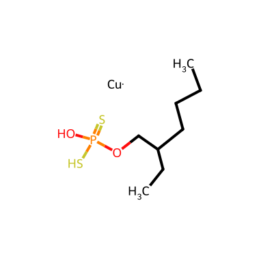 CCCCC(CC)COP(O)(=S)S.[Cu]